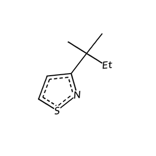 CCC(C)(C)c1ccsn1